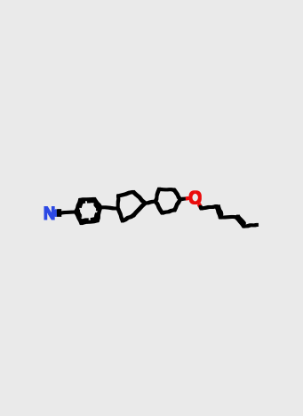 CC=CC=CCOC1CCC(C2CCC(c3ccc(C#N)cc3)CC2)CC1